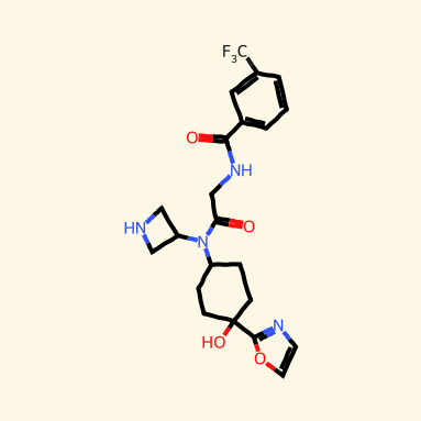 O=C(NCC(=O)N(C1CCC(O)(c2ncco2)CC1)C1CNC1)c1cccc(C(F)(F)F)c1